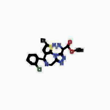 CCc1cc2c(s1)-n1c(nnc1C(N)C(=O)OC(C)(C)C)CN=C2c1ccccc1Cl